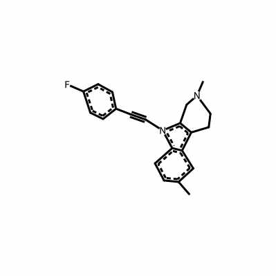 Cc1ccc2c(c1)c1c(n2C#Cc2ccc(F)cc2)CN(C)CC1